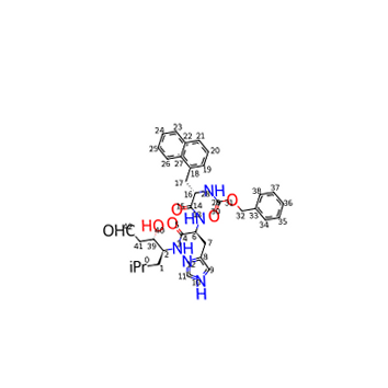 CC(C)C[C@H](NC(=O)[C@H](Cc1c[nH]cn1)NC(=O)[C@H](Cc1cccc2ccccc12)NC(=O)OCc1ccccc1)[C@@H](O)CC=O